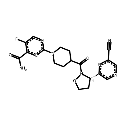 N#Cc1cncc([C@@H]2CCON2C(=O)C2CCN(c3ncc(F)c(C(N)=O)n3)CC2)n1